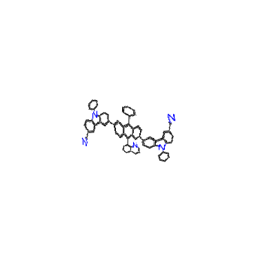 N#Cc1ccc2c(c1)c1cc(-c3ccc4c(-c5cccc6cccnc56)c5cc(-c6ccc7c(c6)c6cc(C#N)ccc6n7-c6ccccc6)ccc5c(-c5ccccc5)c4c3)ccc1n2-c1ccccc1